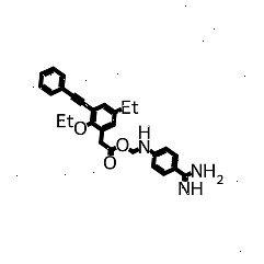 [CH2]COc1c(C#Cc2ccccc2)cc(CC)cc1CC(=O)OCNc1ccc(C(=N)N)cc1